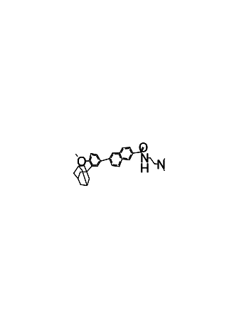 COc1ccc(-c2ccc3cc(C(=O)NCCN(C)C)ccc3c2)cc1C12CC3CC(CC(C3)C1)C2